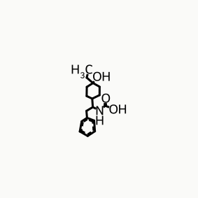 CCC1(O)CCC(C(Cc2ccccc2)NC(=O)O)CC1